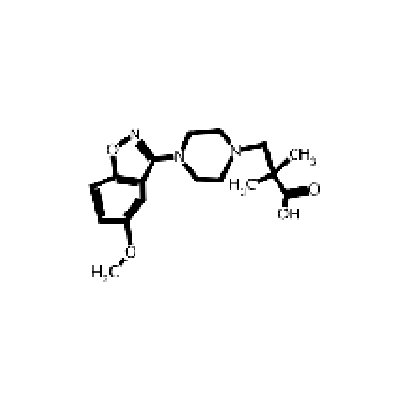 COc1ccc2onc(N3CCN(CC(C)(C)C(=O)O)CC3)c2c1